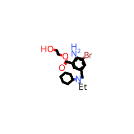 CCN(Cc1cc(Br)c(N)c(C(=O)OCCO)c1)C1CCCCC1